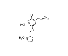 C=CCc1cc(OC[C@@H]2CCCN2C)cnc1Cl.Cl